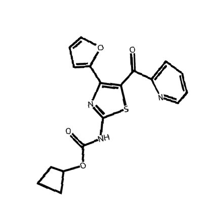 O=C(Nc1nc(-c2ccco2)c(C(=O)c2ccccn2)s1)OC1CCC1